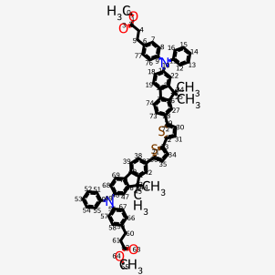 COC(=O)CCc1ccc(N(c2ccccc2)c2ccc3c(c2)C(C)(C)c2cc(-c4ccc(-c5ccc(-c6ccc7c(c6)C(C)(C)c6cc(N(c8ccccc8)c8ccc(CCC(=O)OC)cc8)ccc6-7)s5)s4)ccc2-3)cc1